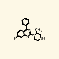 CC1CNCCN1c1nc(-c2ccccc2)c2ccc(F)cc2n1